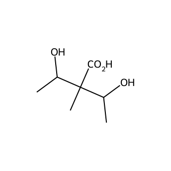 CC(O)C(C)(C(=O)O)C(C)O